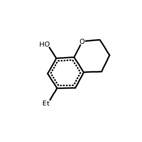 CCc1cc(O)c2c(c1)CCCO2